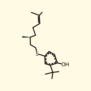 CC(C)=CCC[C@H](C)CCSc1ccc(O)c(C(C)(C)C)c1